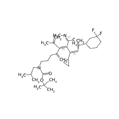 C=C(C)/C(C(=C)CCCN(CC(C)C)C(=O)OC(C)(C)C)=C(C(=C\C(=C)C1CCCC(F)(F)C1)/C1CC1)\C(C)=N/C